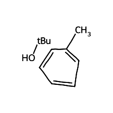 CC(C)(C)O.Cc1ccccc1